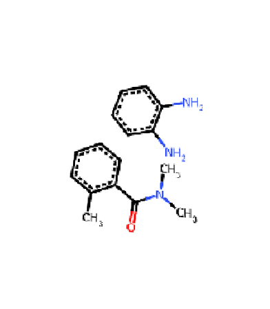 Cc1ccccc1C(=O)N(C)C.Nc1ccccc1N